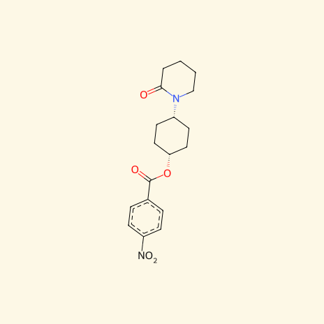 O=C(O[C@H]1CC[C@@H](N2CCCCC2=O)CC1)c1ccc([N+](=O)[O-])cc1